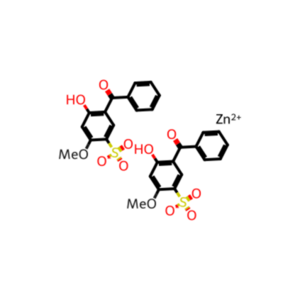 COc1cc(O)c(C(=O)c2ccccc2)cc1S(=O)(=O)[O-].COc1cc(O)c(C(=O)c2ccccc2)cc1S(=O)(=O)[O-].[Zn+2]